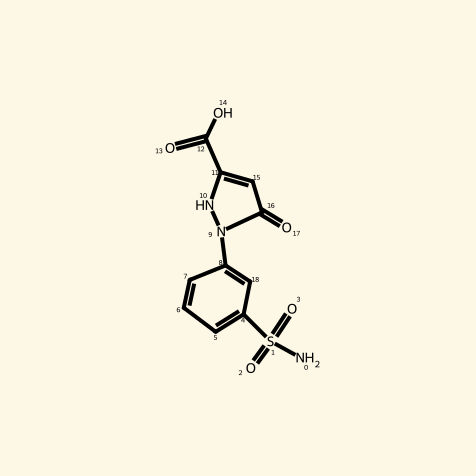 NS(=O)(=O)c1cccc(-n2[nH]c(C(=O)O)cc2=O)c1